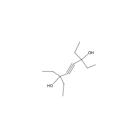 CCC(O)(C#CC(O)(CC)CC)CC